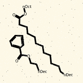 CCCCCCCCCCCCCCCCCCCCCC(=O)OCCCCCCCC.CCCCCCCCCCCCOC(=O)c1ccccc1